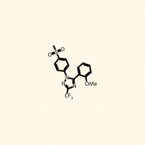 COc1ccccc1-c1nc(C(F)(F)F)nn1-c1ccc(S(C)(=O)=O)cc1